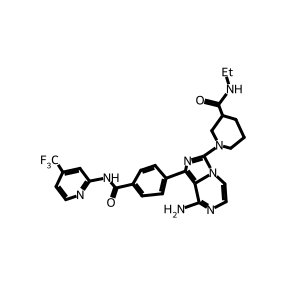 CCNC(=O)C1CCCN(c2nc(-c3ccc(C(=O)Nc4cc(C(F)(F)F)ccn4)cc3)c3c(N)nccn23)C1